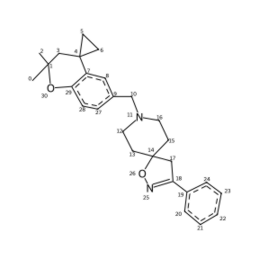 CC1(C)CC2(CC2)c2cc(CN3CCC4(CC3)CC(c3ccccc3)=NO4)ccc2O1